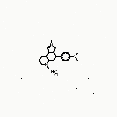 CN(C)c1ccc(C2CC3C(CCCN3C)C3C=[N+](C)CC23)cc1.Cl.[Cl-]